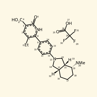 CCc1cc(C(=O)O)c(=O)[nH]c1-c1ccc(N2C[C@H]3CCC[C@@H](NC)[C@H]3C2)cc1.O=C(O)C(F)(F)F